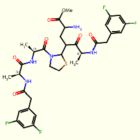 COC(=O)C(N)CC(C(=O)[C@H](C)NC(=O)Cc1cc(F)cc(F)c1)C1SCCN1C(=O)[C@H](C)NC(=O)[C@H](C)NC(=O)Cc1cc(F)cc(F)c1